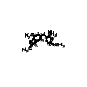 Cc1cc(Cc2cnc(N)nc2N)cc2cn(C)nc12